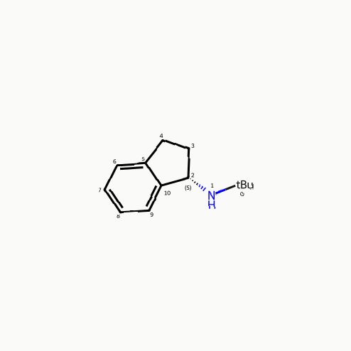 CC(C)(C)N[C@H]1CCc2ccccc21